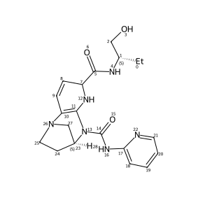 CC[C@@H](CO)NC(=O)C1C=CC2=C(N1)N(C(=O)Nc1ccccn1)[C@H]1CCN2C1